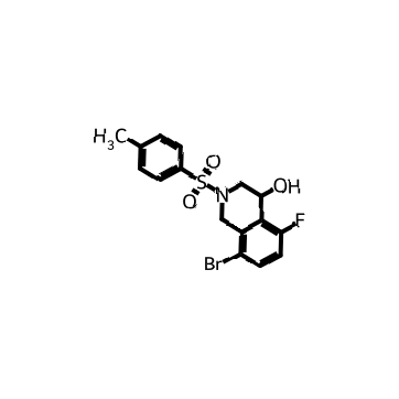 Cc1ccc(S(=O)(=O)N2Cc3c(Br)ccc(F)c3C(O)C2)cc1